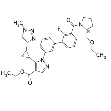 CCOC[C@H]1CCCN1C(=O)c1cccc(-c2cccc(-n3ncc(C(=O)OCC)c3C3CC3c3cn(C)nn3)c2)c1F